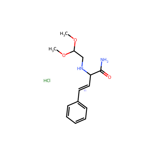 COC(CNC(/C=C/c1ccccc1)C(N)=O)OC.Cl